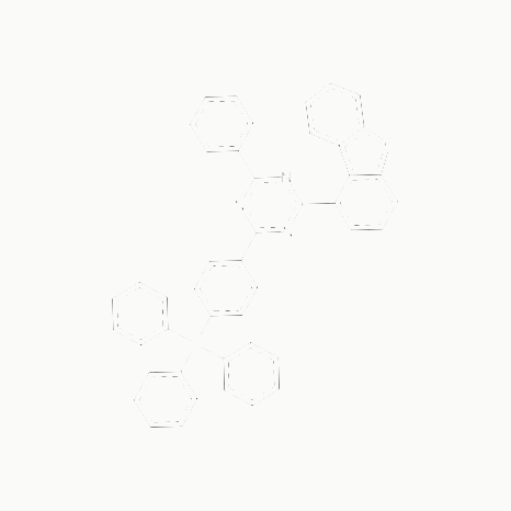 c1ccc(-c2nc(-c3ccc([Si](c4ccccc4)(c4ccccc4)c4ccccc4)cc3)nc(-c3cccc4oc5ccccc5c34)n2)cc1